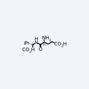 CC(C)[C@H](NC(=O)[C@@H](N)CCC(=O)O)C(=O)O